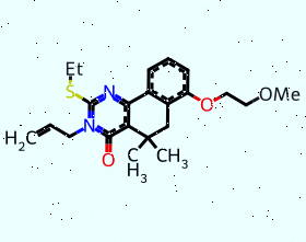 C=CCn1c(SCC)nc2c(c1=O)C(C)(C)Cc1c(OCCOC)cccc1-2